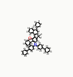 CC1(C)c2cc(-c3ccccc3)c3ccccc3c2-c2c1cc(N(c1ccc(-c3ccccc3)cc1)c1ccc(-c3ccccc3)cc1)c1c2oc2ccccc21